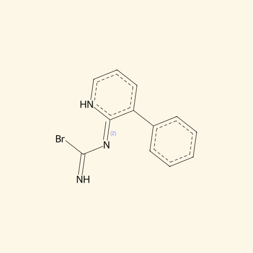 N=C(Br)/N=c1\[nH]cccc1-c1ccccc1